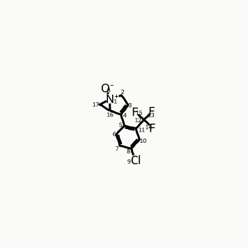 [O-][N+]12CC=C(c3ccc(Cl)cc3C(F)(F)F)C1C2